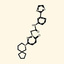 O=C(Cn1nc(N2CCCC3(CCCC3)C2)ccc1=O)Nc1cccc(-c2nccs2)c1